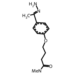 CNC(=O)CCCOc1ccc(/C(C)=N/N)cc1